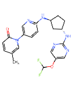 Cc1ccc(=O)n(-c2ccc(N[C@H]3CC[C@H](Nc4ncc(OC(F)F)cn4)C3)nc2)c1